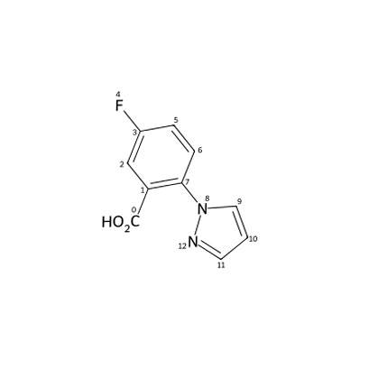 O=C(O)c1cc(F)ccc1-n1cccn1